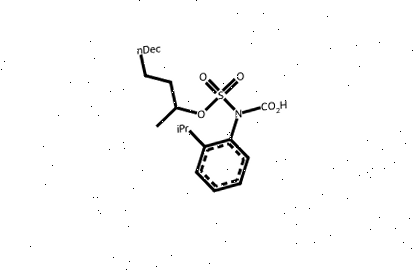 CCCCCCCCCCCCC(C)OS(=O)(=O)N(C(=O)O)c1ccccc1C(C)C